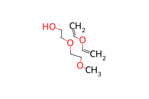 C=COC=C.COCCOCCO